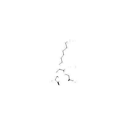 CCCCCCCCCCCCCCCCC[C@@H](C[C@@H]1OC(=O)[C@H]1CC)C(SCC(N)=O)C(=O)O